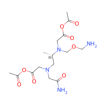 CC(=O)OC(=O)CN(CC(N)=O)C[C@H](C)N(COCN)CC(=O)OC(C)=O